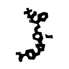 CC(C)(C)OC(=O)N[C@@H](CCN1CCC(n2cnc(Cc3ccc(C(=O)O)cc3)n2)CC1)c1ccccc1.[NaH]